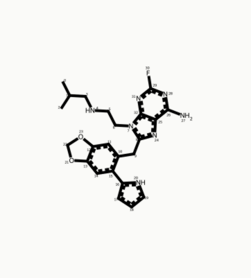 CC(C)CNCCn1c(Cc2cc3c(cc2-c2ccc[nH]2)OCO3)nc2c(N)nc(F)nc21